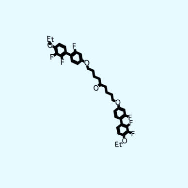 CCOc1ccc(-c2ccc(OCCCCC(=O)CCCCOc3ccc(-c4ccc(OCC)c(F)c4F)c(F)c3)cc2F)c(F)c1F